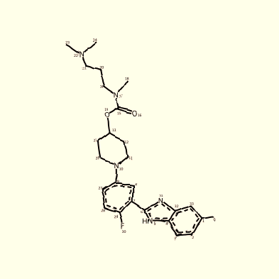 Cc1ccc2[nH]c(-c3cc(N4CCC(OC(=O)N(C)CCCN(C)C)CC4)ccc3F)nc2c1